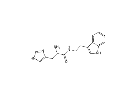 NC(Cc1c[nH]cn1)C(=O)NCCc1c[nH]c2ccccc12